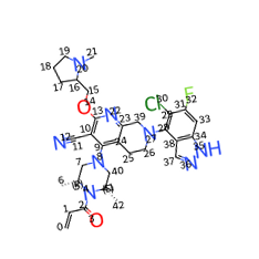 C=CC(=O)N1[C@H](C)CN(c2c(C#N)c(OCC3CCCN3C)nc3c2CCN(c2c(Cl)c(F)cc4[nH]ncc24)C3)C[C@@H]1C